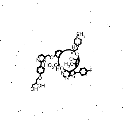 Cc1c2ccc(c1Cl)O[C@H](CN1CCN(C)CC1)CCc1ccc(OCc3ccnc(-c4ccc(OC[C@H](O)CO)cc4)n3)c(c1)C[C@H](C(=O)O)Oc1ncnc3sc(-c4ccc(F)cc4)c-2c13